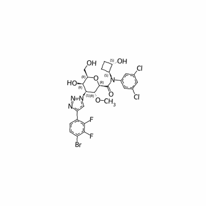 CO[C@@H]1[C@@H](n2cc(-c3ccc(Br)c(F)c3F)nn2)[C@@H](O)[C@@H](CO)O[C@H]1C(=O)N(c1cc(Cl)cc(Cl)c1)[C@H]1CC[C@@H]1O